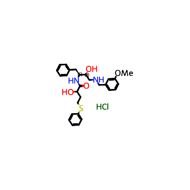 COc1cccc(CNC[C@@H](O)[C@H](Cc2ccccc2)NC(=O)C(O)CCSc2ccccc2)c1.Cl